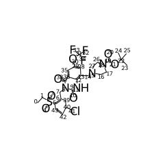 CCS(=O)(=O)C1=C(Cn2c(=O)[nH]c3c(CN4CCN(C(=O)OC(C)(C)C)CC4)cc(OC(F)(F)F)cc3c2=O)CC(Cl)C=C1